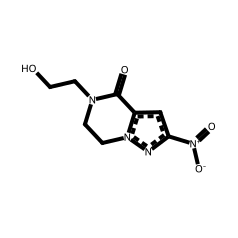 O=C1c2cc([N+](=O)[O-])nn2CCN1CCO